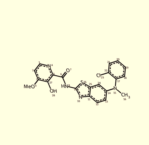 COc1ccnc(C(=O)Nc2nc3ccc(N(C)c4ccccc4Cl)cc3s2)c1O